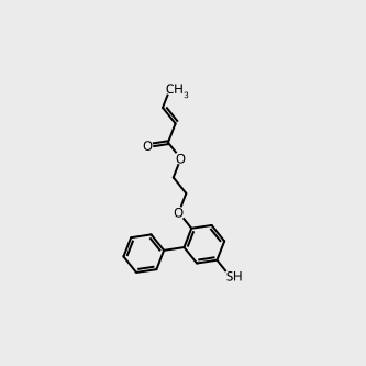 CC=CC(=O)OCCOc1ccc(S)cc1-c1ccccc1